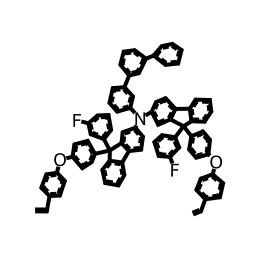 C=Cc1ccc(Oc2ccc(C3(c4cccc(F)c4)c4ccccc4-c4ccc(N(c5cccc(-c6cccc(-c7ccccc7)c6)c5)c5ccc6c(c5)C(c5ccc(Oc7ccc(C=C)cc7)cc5)(c5cccc(F)c5)c5ccccc5-6)cc43)cc2)cc1